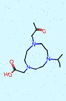 CC(=O)CN1CCN(CC(=O)O)CCN(C(C)C)CC1